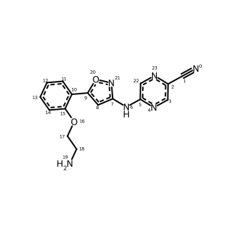 N#Cc1cnc(Nc2cc(-c3ccccc3OCCN)on2)cn1